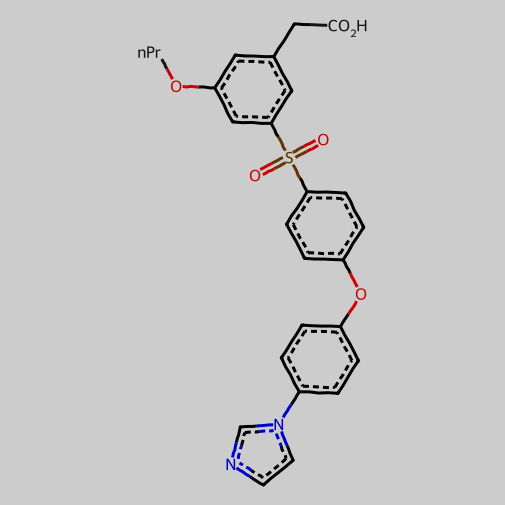 CCCOc1cc(CC(=O)O)cc(S(=O)(=O)c2ccc(Oc3ccc(-n4ccnc4)cc3)cc2)c1